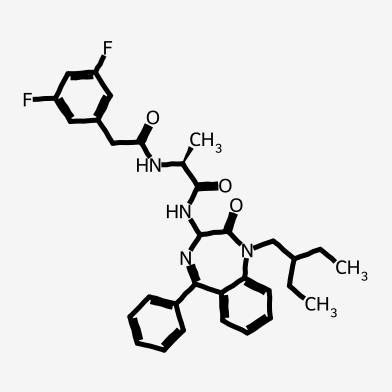 CCC(CC)CN1C(=O)C(NC(=O)[C@H](C)NC(=O)Cc2cc(F)cc(F)c2)N=C(c2ccccc2)c2ccccc21